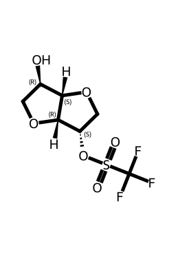 O=S(=O)(O[C@H]1CO[C@@H]2[C@H]1OC[C@H]2O)C(F)(F)F